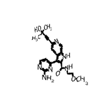 COCCNC(=O)c1[nH]c2cnc(C#CC(C)(C)O)cc2c1-c1ccnc(N)n1